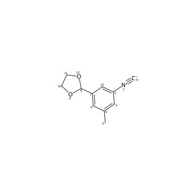 [C-]#[N+]c1cc(C)cc(C2OCCO2)c1